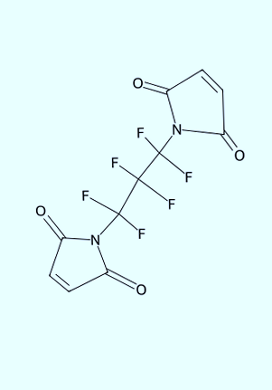 O=C1C=CC(=O)N1C(F)(F)C(F)(F)C(F)(F)N1C(=O)C=CC1=O